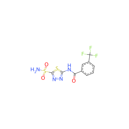 NS(=O)(=O)c1nnc(NC(=O)c2cccc(C(F)(F)F)c2)s1